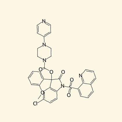 COc1ccccc1C1(OC(=O)N2CCN(c3ccncc3)CC2)C(=O)N(S(=O)(=O)c2cccc3cccnc23)c2ccc(Cl)cc21